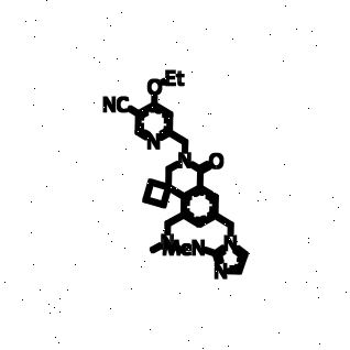 CCOc1cc(CN2CC3(CCC3)c3c(CN(C)C)cc(Cn4ccnc4NC)cc3C2=O)ncc1C#N